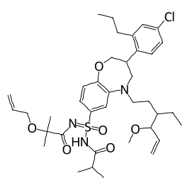 C=CCOC(C)(C)C(=O)N=S(=O)(NC(=O)C(C)C)c1ccc2c(c1)N(CCC(CC)C(C=C)OC)CC(c1ccc(Cl)cc1CCC)CO2